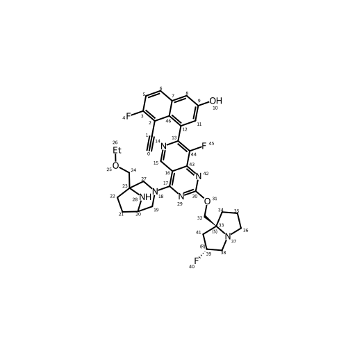 C#Cc1c(F)ccc2cc(O)cc(-c3ncc4c(N5CC6CCC(COCC)(C5)N6)nc(OC[C@@]56CCCN5C[C@H](F)C6)nc4c3F)c12